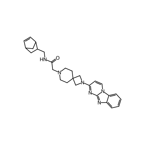 O=C(CN1CCC2(CC1)CN(c1ccn3c(n1)nc1ccccc13)C2)NCC1CC2C=CC1C2